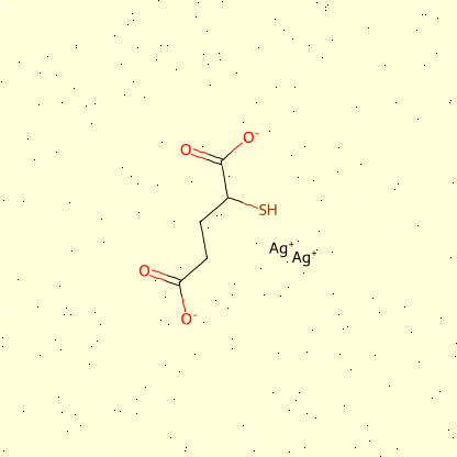 O=C([O-])CCC(S)C(=O)[O-].[Ag+].[Ag+]